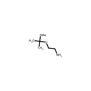 CSC(C)(C)OCCN